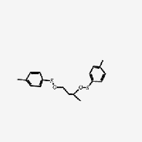 Cc1ccc(SOCCC(C)OSc2ccc(C)cc2)cc1